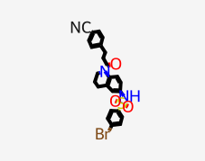 N#Cc1ccc(CCC(=O)N2CCCc3cc(NS(=O)(=O)c4ccc(Br)cc4)ccc32)cc1